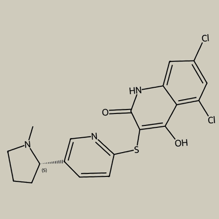 CN1CCC[C@H]1c1ccc(Sc2c(O)c3c(Cl)cc(Cl)cc3[nH]c2=O)nc1